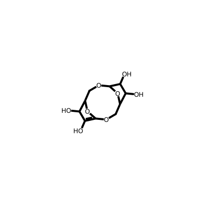 OC1=C2OCC3OC(OCC(O2)C1O)C(O)C3O